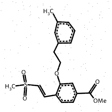 COC(=O)c1ccc(C=CS(C)(=O)=O)c(OCCc2cccc(C)c2)c1